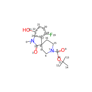 CN1C(=O)C2(CCN(C(=O)OC(C)(C)C)CC2)c2c(F)ccc(O)c21